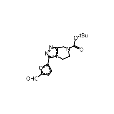 CC(C)(C)OC(=O)N1CCn2c(nnc2-c2ccc(C=O)o2)C1